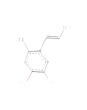 O=[N+]([O-])/C=C/c1cc(O)c(O)cc1[N+](=O)[O-]